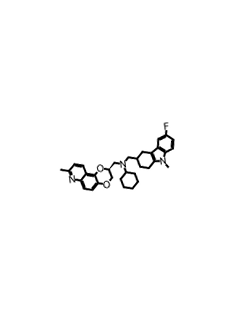 Cc1ccc2c3c(ccc2n1)OC[C@H](CN(CC1CCc2c(c4cc(F)ccc4n2C)C1)C1CCCCC1)O3